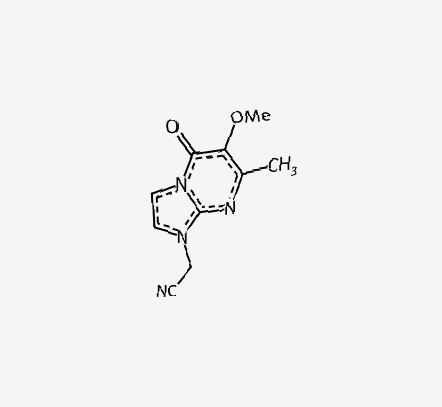 COc1c(C)nc2n(CC#N)ccn2c1=O